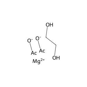 CC(=O)[O-].CC(=O)[O-].OCCO.[Mg+2]